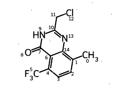 Cc1ccc(C(F)(F)F)c2c(=O)[nH]c(CCl)nc12